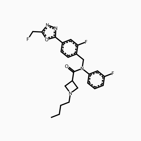 CCCCN1CC(C(=O)N(Cc2ccc(-c3nnc(CF)o3)cc2F)c2cccc(F)c2)C1